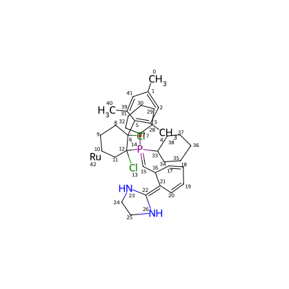 Cc1cc(C)c(C2(Cl)CCCCC2(Cl)P(=CC2C=CC=CC2=C2NCCN2)(C2CCCCC2)C2CCCCC2)c(C)c1.[Ru]